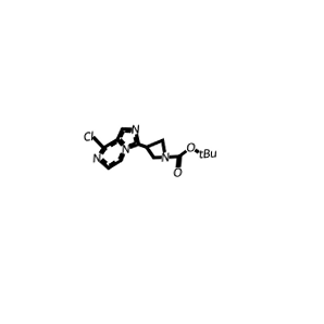 CC(C)(C)OC(=O)N1CC(c2ncc3c(Cl)nccn23)C1